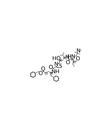 CC[C@H](C)[C@H](NC(=O)C(C)(C)N(C)C)C(=O)N(C)[C@H](C[C@@H](O)c1nc(C(=O)N[C@@H](Cc2ccccc2)C[C@H](C)C(=O)OCc2ccccc2)cs1)C(C)C